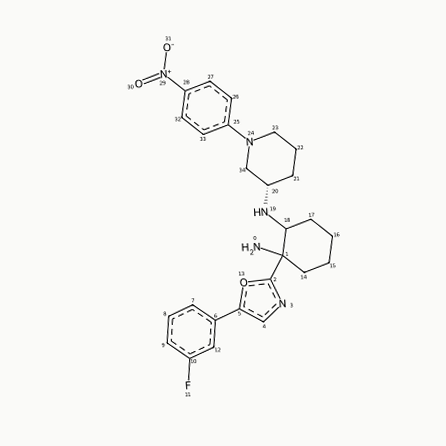 NC1(c2ncc(-c3cccc(F)c3)o2)CCCCC1N[C@H]1CCCN(c2ccc([N+](=O)[O-])cc2)C1